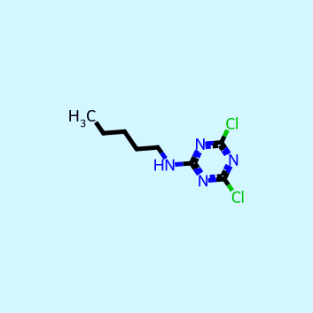 CCCCCNc1nc(Cl)nc(Cl)n1